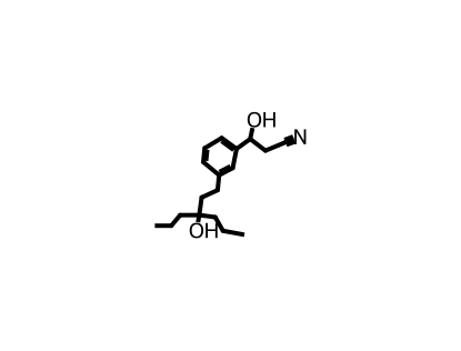 CCCC(O)(CCC)CCc1cccc(C(O)CC#N)c1